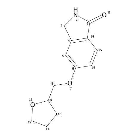 O=C1NCc2cc(OCC3CCCO3)ccc21